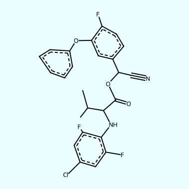 CC(C)C(Nc1c(F)cc(Cl)cc1F)C(=O)OC(C#N)c1ccc(F)c(Oc2ccccc2)c1